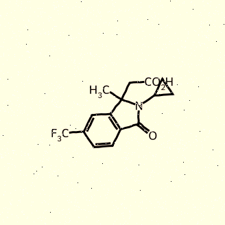 CC1(CC(=O)O)c2cc(C(F)(F)F)ccc2C(=O)N1C1CC1